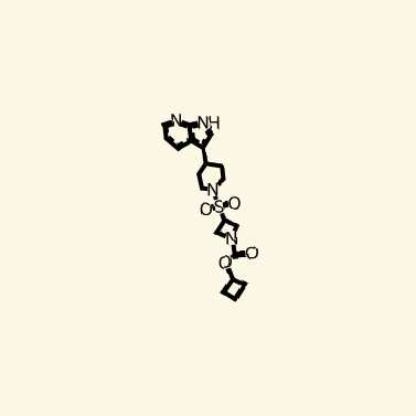 O=C(OC1CCC1)N1CC(S(=O)(=O)N2CCC(c3c[nH]c4ncccc34)CC2)C1